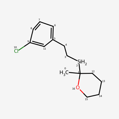 CC1([SiH2]CCc2cccc(Cl)c2)CCCCO1